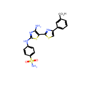 Nc1nc(Nc2ccc(S(N)(=O)=O)cc2)sc1-c1nc(-c2cccc(C(=O)O)c2)cs1